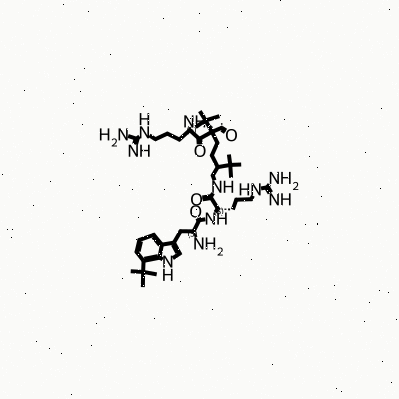 CC(C)(C)c1cccc2c(C[C@H](N)C(=O)N[C@@H](CCCNC(=N)N)C(=O)NCC(CCC([C]=O)(C(=O)[C@@H](N)CCCNC(=N)N)C(C)(C)C)C(C)(C)C)c[nH]c12